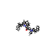 Cc1ccc(N(c2ccc3c(c2)C(=O)c2cc(N(C)c4ccc(C)cc4-c4ccc5c(c4)C(C)(C)c4ccc6ccccc6c4-5)c4c(c2-3)C(C)(C)c2ccccc2-4)c2ccc3c(c2)C(C)(C)c2ccc4ccccc4c2-3)cc1